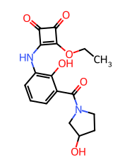 CCOc1c(Nc2cccc(C(=O)N3CCC(O)C3)c2O)c(=O)c1=O